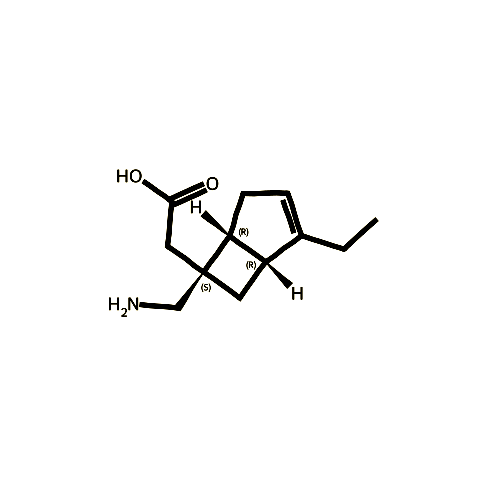 CCC1=CC[C@@H]2[C@H]1C[C@]2(CN)CC(=O)O